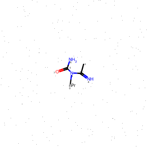 CCCN(C(C)=N)C(N)=O